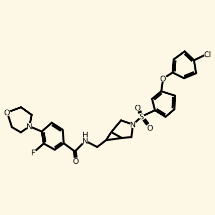 O=C(NCC1C2CN(S(=O)(=O)c3cccc(Oc4ccc(Cl)cc4)c3)CC12)c1ccc(N2CCOCC2)c(F)c1